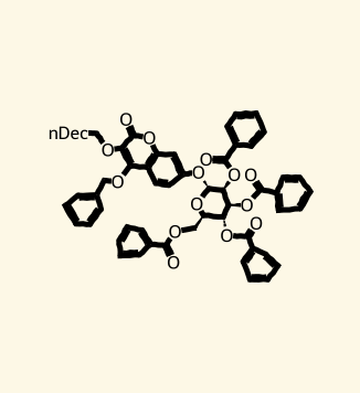 CCCCCCCCCCCOc1c(OCc2ccccc2)c2ccc(O[C@H]3O[C@H](COC(=O)c4ccccc4)[C@@H](OC(=O)c4ccccc4)[C@H](OC(=O)c4ccccc4)[C@@H]3OC(=O)c3ccccc3)cc2oc1=O